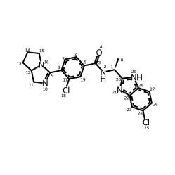 C[C@H](NC(=O)c1ccc(C2=NCC3CCCN23)c(Cl)c1)c1nc2cc(Cl)ccc2[nH]1